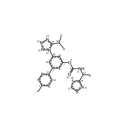 Cc1ccc(-c2cc(OC(=O)NC(C)c3nccs3)cc(-n3nnnc3C(C)C)c2)cc1